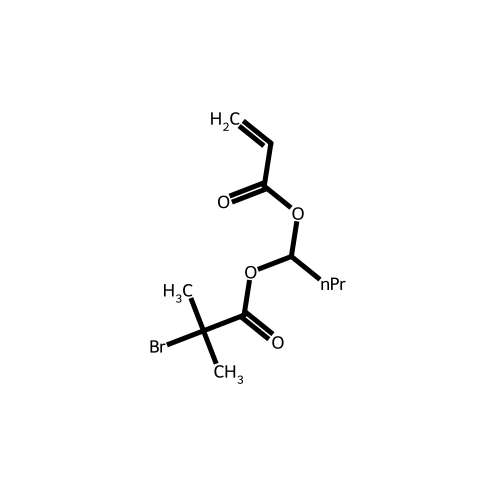 C=CC(=O)OC(CCC)OC(=O)C(C)(C)Br